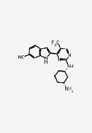 N#Cc1ccc2cc(-c3nc(N[C@H]4CCC[C@@H](N)C4)ncc3C(F)(F)F)[nH]c2c1